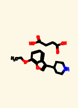 CCOc1cccc2c(C3CCNCC3)coc12.O=C(O)CCC(=O)O